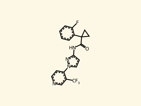 O=C(Nc1ccn(-c2ccncc2C(F)(F)F)n1)C1(c2ccccc2F)CC1